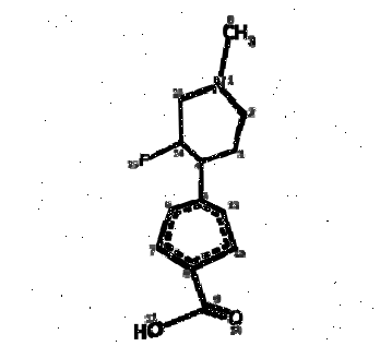 CN1CCC(c2ccc(C(=O)O)cc2)C(F)C1